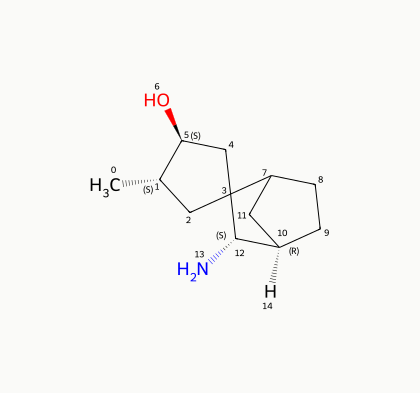 C[C@H]1CC2(C[C@@H]1O)C1CC[C@H](C1)[C@@H]2N